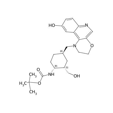 CC(C)(C)OC(=O)N[C@@H]1CC[C@@H](CN2CCOc3cnc4ccc(O)cc4c32)C[C@@H]1CO